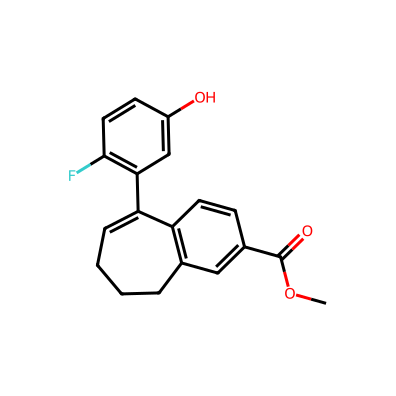 COC(=O)c1ccc2c(c1)CCCC=C2c1cc(O)ccc1F